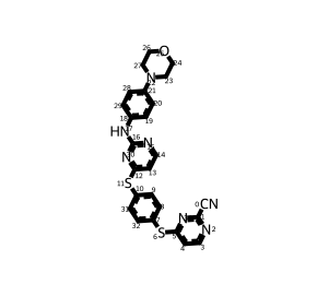 N#Cc1nccc(Sc2ccc(Sc3ccnc(Nc4ccc(N5CCOCC5)cc4)n3)cc2)n1